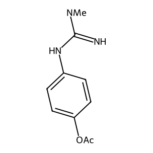 CNC(=N)Nc1ccc(OC(C)=O)cc1